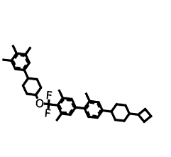 Cc1cc(C2CCC(C3CCC3)CC2)ccc1-c1cc(C)c(C(F)(F)OC2CCC(c3cc(C)c(C)c(C)c3)CC2)c(C)c1